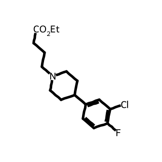 CCOC(=O)CCCN1CCC(c2ccc(F)c(Cl)c2)CC1